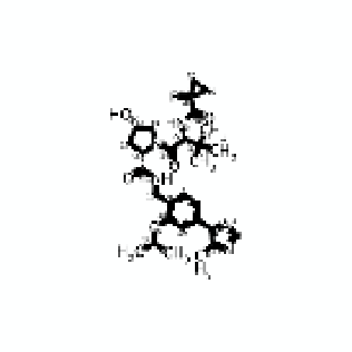 Cc1ncsc1-c1ccc(CNC(=O)[C@@H]2C[C@H](O)CN2C(=O)[C@@H](NC(=O)C2(F)CC2)C(C)(C)C)c(OC(C)C)c1